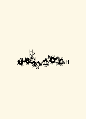 Nc1nc2c(sc(=O)n2CCN2CCN(c3ccc(O[C@@H]4CNC[C@H]4F)cc3F)CC2)c2cc(-c3ccco3)nn12